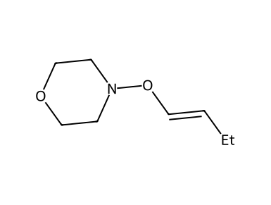 CCC=CON1CCOCC1